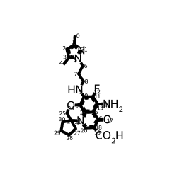 Cc1cc(C)n(CCCNc2c(F)c(N)c3c(=O)c(C(=O)O)cn4c3c2OCC42CCCC2)n1